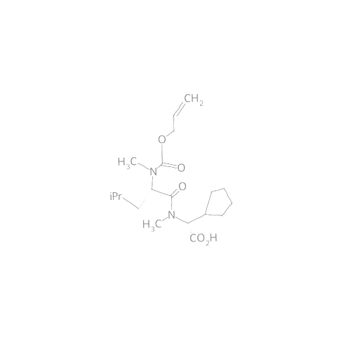 C=CCOC(=O)N(C)[C@@H](CC(C)C)C(=O)N(C)[C@@H](C(=O)O)C1CCCC1